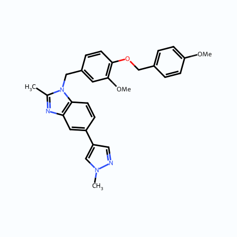 COc1ccc(COc2ccc(Cn3c(C)nc4cc(-c5cnn(C)c5)ccc43)cc2OC)cc1